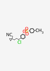 Cc1ccc(S(=O)(=O)Oc2ccc(C(Cl)CCC3(CC#N)CC3)cc2)cc1